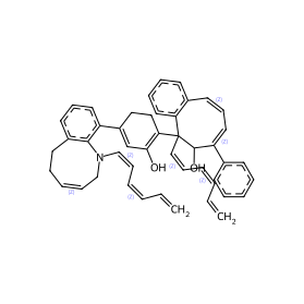 C=C/C=C\C=C/N1C/C=C\CCc2cccc(C3=CC(O)=C(C4(/C=C\C=C/C=C)c5ccccc5/C=C\C=C(\c5ccccc5)C4O)CC3)c21